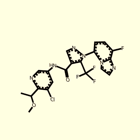 COC(C)c1ncc(NC(=O)c2cnn(-c3ccc(F)c4nccn34)c2C(F)(F)F)cc1Cl